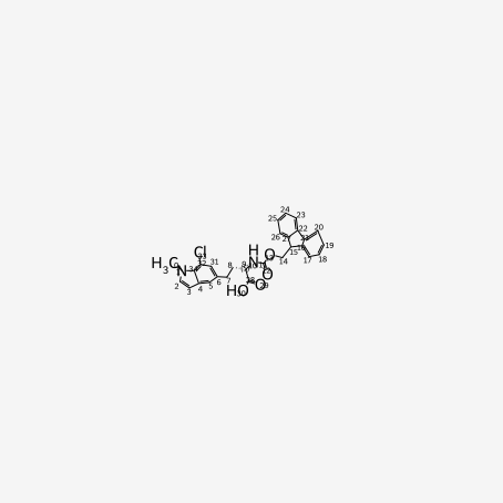 Cn1ccc2cc(CC[C@H](NC(=O)OCC3c4ccccc4-c4ccccc43)C(=O)O)cc(Cl)c21